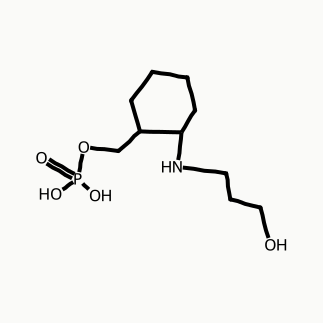 O=P(O)(O)OCC1CCCCC1NCCCO